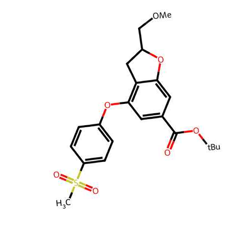 COCC1Cc2c(Oc3ccc(S(C)(=O)=O)cc3)cc(C(=O)OC(C)(C)C)cc2O1